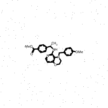 COC(=O)c1ccc([C@H](C)Nc2nccc3c2N(Cc2ccc(OC)cc2)CCO3)cc1